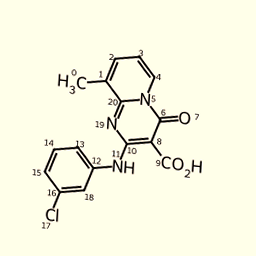 Cc1cccn2c(=O)c(C(=O)O)c(Nc3cccc(Cl)c3)nc12